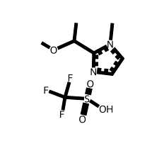 COC(C)c1nccn1C.O=S(=O)(O)C(F)(F)F